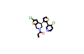 C=CC(=O)N1Cc2sc(Cl)cc2[C@@H](c2ccsc2-c2cnccc2Cl)C1